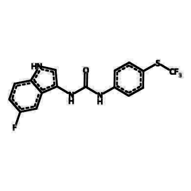 O=C(Nc1ccc(SC(F)(F)F)cc1)Nc1c[nH]c2ccc(F)cc12